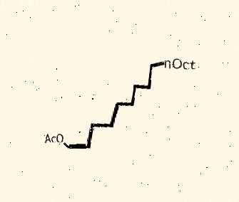 CCCCCCCCCCCCCCC/C=C\OC(C)=O